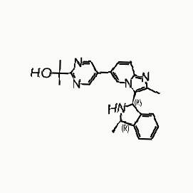 Cc1nc2ccc(-c3cnc(C(C)(C)O)nc3)cn2c1[C@@H]1N[C@H](C)c2ccccc21